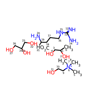 CC(O)CO.C[N+](C)(C)CCO.N=C(N)NCCCC(N)C(=O)O.OCC(O)CO